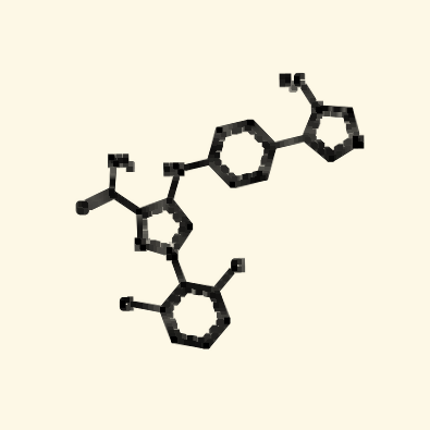 Cn1cncc1-c1ccc(Nc2cn(-c3c(Cl)cccc3Cl)nc2C(N)=O)cc1